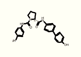 CC(C)c1ccc(NC(=O)N2CCC[C@@H]2C(=O)Nc2ccc(-c3ccc(O)cc3)cc2)cc1